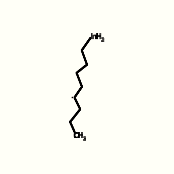 CCC[CH]CCC[CH2][InH2]